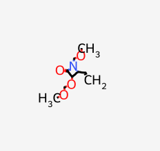 C=CC1C(OCOC)C(=O)N1COC